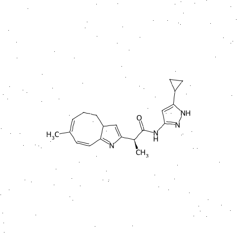 CC1=C/CCC2C=C([C@H](C)C(=O)Nc3cc(C4CC4)[nH]n3)N=C2/C=C\1